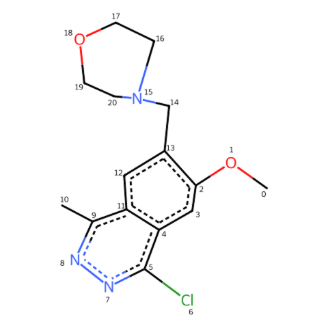 COc1cc2c(Cl)nnc(C)c2cc1CN1CCOCC1